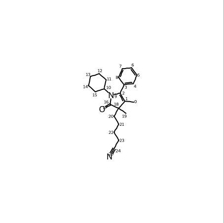 CC1=C(c2ccccc2)N(C2CCCCC2)C(=O)C1(C)CCCCC#N